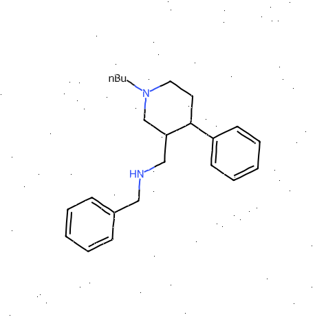 CCCCN1CCC(c2ccccc2)C(CNCc2ccccc2)C1